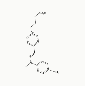 CN(N=Cc1cc[n+](CCCS(=O)(=O)O)cc1)c1ccc([N+](=O)[O-])cc1